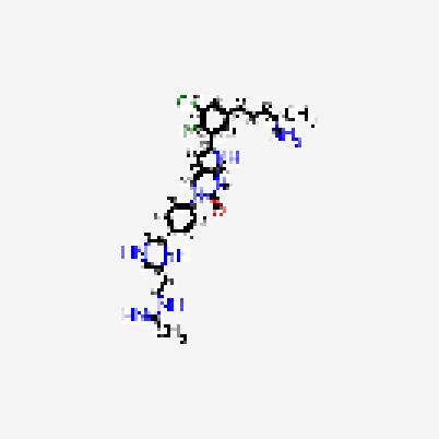 CC(=N)NCC[C@H]1CNC[C@@H](c2ccc(-n3cc4cc(-c5cc(CCC[C@H](C)N)cc(Cl)c5F)[nH]c4nc3=O)cc2)N1